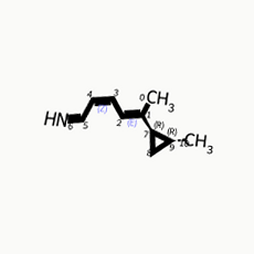 C/C(=C\C=C/C=N)[C@@H]1C[C@H]1C